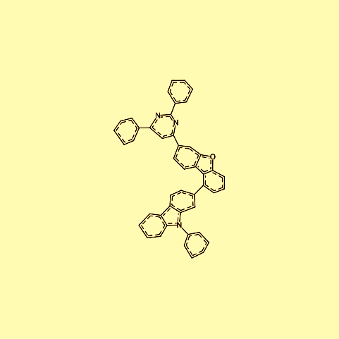 c1ccc(-c2cc(-c3ccc4c(c3)oc3cccc(-c5ccc6c7ccccc7n(-c7ccccc7)c6c5)c34)nc(-c3ccccc3)n2)cc1